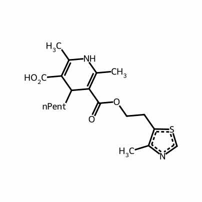 CCCCCC1C(C(=O)O)=C(C)NC(C)=C1C(=O)OCCc1scnc1C